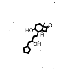 C[C@]12CC[C@@H](O)[C@H](/C=C/[C@@H](O)CC3CCCC3)[C@H]1CC2=O